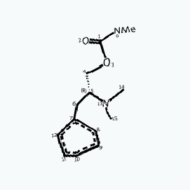 CNC(=O)OC[C@@H](Cc1ccccc1)N(C)C